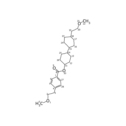 COCCc1ccc(C(=O)OC2CCC(C3CCC(CCOC)CC3)CC2)cc1